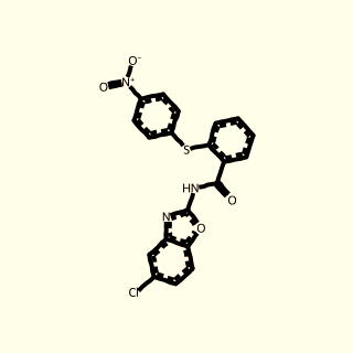 O=C(Nc1nc2cc(Cl)ccc2o1)c1ccccc1Sc1ccc([N+](=O)[O-])cc1